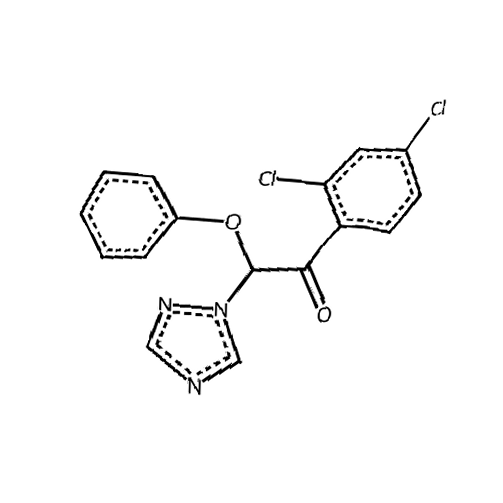 O=C(c1ccc(Cl)cc1Cl)C(Oc1ccccc1)n1cncn1